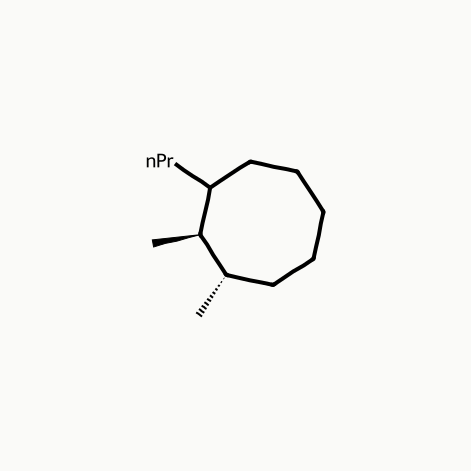 [CH2]CCC1CCCCC[C@H](C)[C@H]1C